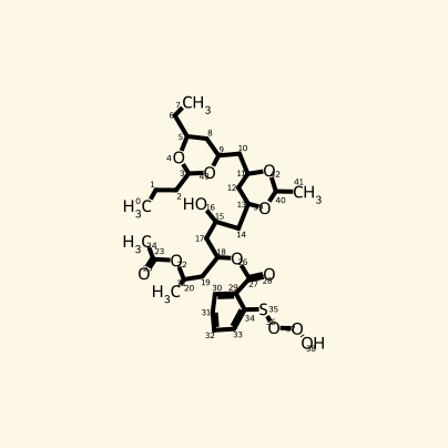 CCCC1OC(CC)CC(CC2CC(CC(O)CC(CC(C)OC(C)=O)OC(=O)c3ccccc3SOOO)OC(C)O2)O1